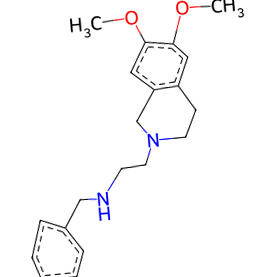 COc1cc2c(cc1OC)CN(CCNCc1ccccc1)CC2